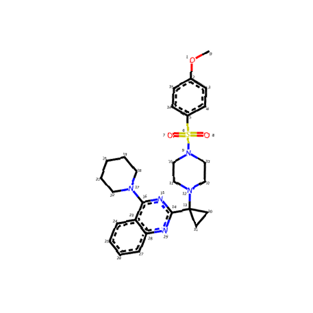 COc1ccc(S(=O)(=O)N2CCN(C3(c4nc(N5CCCCC5)c5ccccc5n4)CC3)CC2)cc1